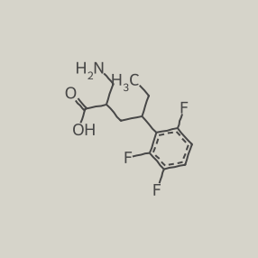 CCC(CC(CN)C(=O)O)c1c(F)ccc(F)c1F